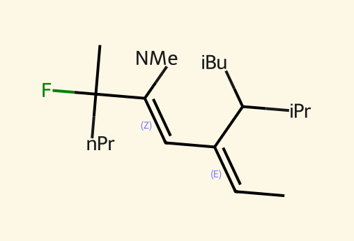 C/C=C(/C=C(\NC)C(C)(F)CCC)C(C(C)C)C(C)CC